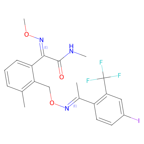 CNC(=O)/C(=N/OC)c1cccc(C)c1CO/N=C(\C)c1ccc(I)cc1C(F)(F)F